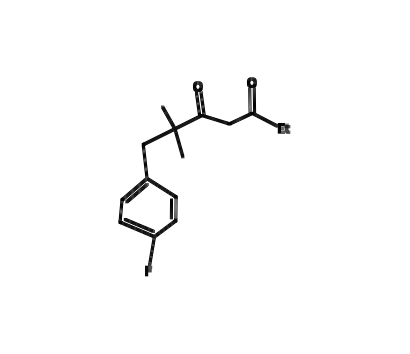 CCC(=O)CC(=O)C(C)(C)Cc1ccc(F)cc1